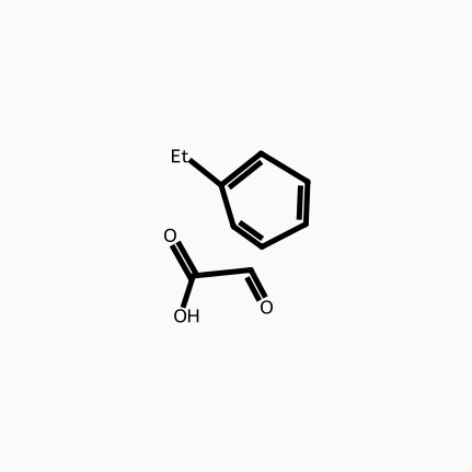 CCc1ccccc1.O=CC(=O)O